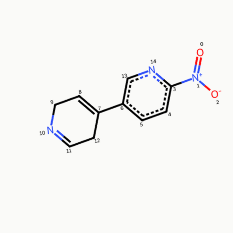 O=[N+]([O-])c1ccc(C2=CCN=CC2)cn1